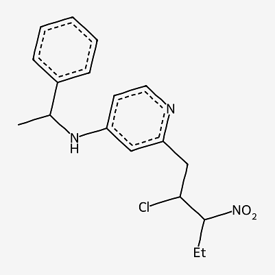 CCC(C(Cl)Cc1cc(NC(C)c2ccccc2)ccn1)[N+](=O)[O-]